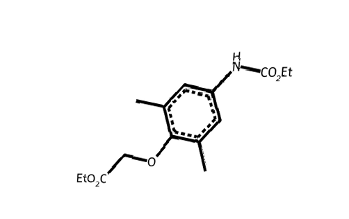 CCOC(=O)COc1c(C)cc(NC(=O)OCC)cc1C